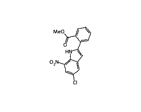 COC(=O)c1ccccc1-c1cc2cc(Cl)cc([N+](=O)[O-])c2[nH]1